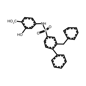 O=C(O)c1ccc(NS(=O)(=O)c2ccc(-c3ccccc3)c(Cc3ccccc3)c2)cc1O